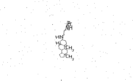 CC(C)NCCNC1CCC2(C)C3CC[C@]4(C)CCCC4C3CC[C@@H]2C1